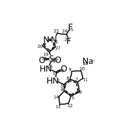 O=C(Nc1c2c(cc3c1CCC3)CCC2)NS(=O)(=O)c1cnn(CC(F)F)c1.[Na]